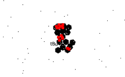 CC(C)(C)c1cc2c3c(c1)N(c1cc(-c4ccccc4)cc(-c4ccccc4)c1)c1cc(-n4c5ccccc5c5ccccc54)ccc1B3c1ccc(-c3cc([Si](c4ccccc4)(c4ccccc4)c4cccc(-c5ccccc5)c4)cc([Si](c4ccccc4)(c4ccccc4)c4cccc(-c5ccccc5)c4)c3)cc1S2